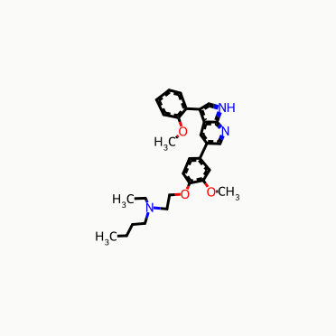 CCCCN(CC)CCOc1ccc(-c2cnc3[nH]cc(-c4ccccc4OC)c3c2)cc1OC